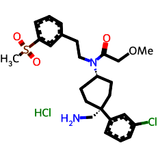 COCC(=O)N(CCc1cccc(S(C)(=O)=O)c1)[C@H]1CC[C@](CN)(c2cccc(Cl)c2)CC1.Cl